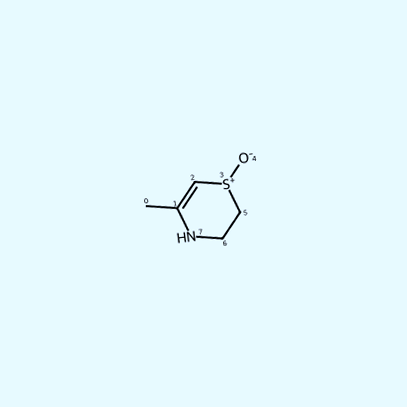 CC1=C[S+]([O-])CCN1